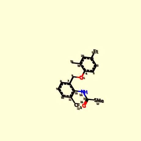 CCc1ccc(OCc2cccc(C(F)(F)F)c2NC(=O)SC)c(C)c1